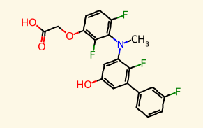 CN(c1cc(O)cc(-c2cccc(F)c2)c1F)c1c(F)ccc(OCC(=O)O)c1F